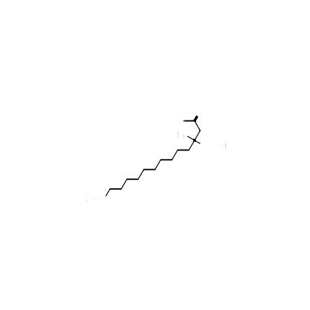 CCCCCCCCCCCCCCCCCCCCC(CCC)(CC(=O)Cl)C(=O)O